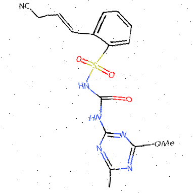 COc1nc(C)nc(NC(=O)NS(=O)(=O)c2ccccc2C=CCC#N)n1